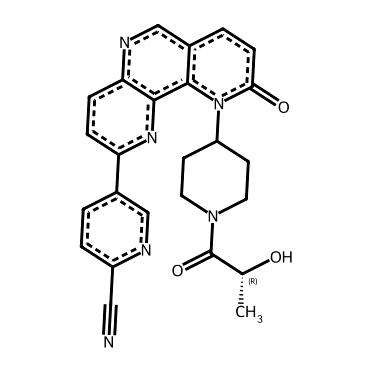 C[C@@H](O)C(=O)N1CCC(n2c(=O)ccc3cnc4ccc(-c5ccc(C#N)nc5)nc4c32)CC1